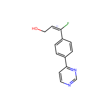 OC/C=C(/F)c1ccc(-c2ccncn2)cc1